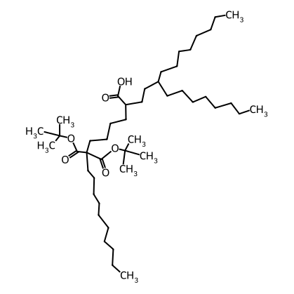 CCCCCCCCCCC(CCCCC(CCC(CCCCCCCC)CCCCCCCC)C(=O)O)(C(=O)OC(C)(C)C)C(=O)OC(C)(C)C